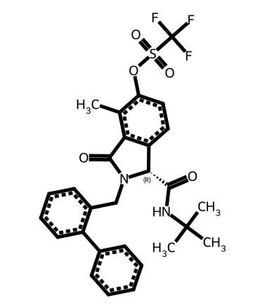 Cc1c(OS(=O)(=O)C(F)(F)F)ccc2c1C(=O)N(Cc1ccccc1-c1ccccc1)[C@H]2C(=O)NC(C)(C)C